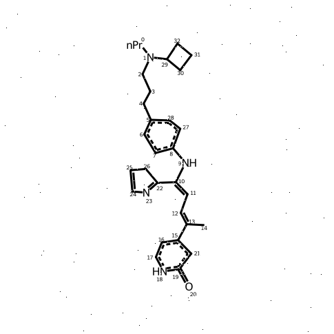 CCCN(CCCc1ccc(N/C(=C/C=C(\C)c2cc[nH]c(=O)c2)C2=NC=CC2)cc1)C1CCC1